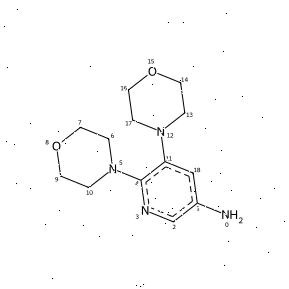 Nc1cnc(N2CCOCC2)c(N2CCOCC2)c1